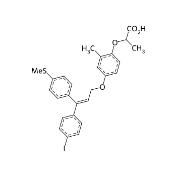 CSc1ccc(/C(=C\COc2ccc(OC(C)C(=O)O)c(C)c2)c2ccc(I)cc2)cc1